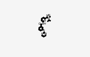 CC(C)n1cnnc1-c1cccc(NC(=O)c2cccc(Sc3ncccn3)c2)n1